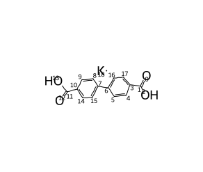 O=C(O)c1ccc(-c2ccc(C(=O)O)cc2)cc1.[K]